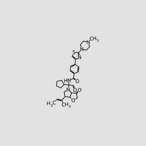 C/C=C(\C)C1CN(C(C=O)(NC(=O)c2ccc(-c3csc(N4CCN(C)CC4)n3)cc2)C2CCCC2)C2C(=O)COC12